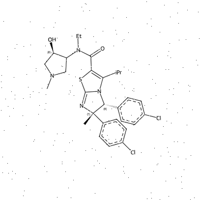 CCN(C(=O)C1=C(C(C)C)N2C(=N[C@@](C)(c3ccc(Cl)cc3)[C@H]2c2ccc(Cl)cc2)S1)C1CN(C)C[C@H]1O